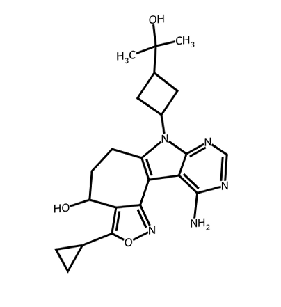 CC(C)(O)C1CC(n2c3c(c4c(N)ncnc42)-c2noc(C4CC4)c2C(O)CC3)C1